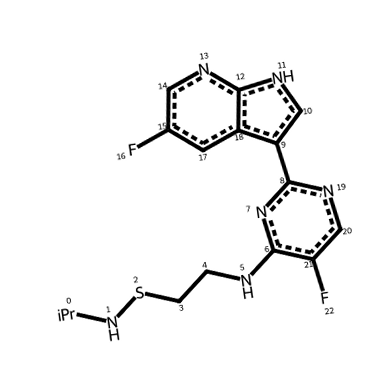 CC(C)NSCCNc1nc(-c2c[nH]c3ncc(F)cc23)ncc1F